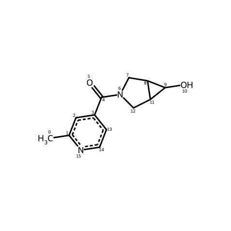 Cc1cc(C(=O)N2CC3C(O)C3C2)ccn1